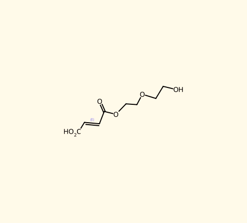 O=C(O)/C=C/C(=O)OCCOCCO